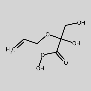 C=CCOC(O)(CO)C(=O)OO